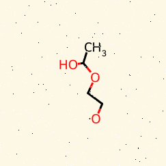 CC(O)OCC[O]